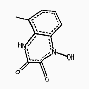 Cc1cccc2c1[nH]c(=O)c(=O)n2O